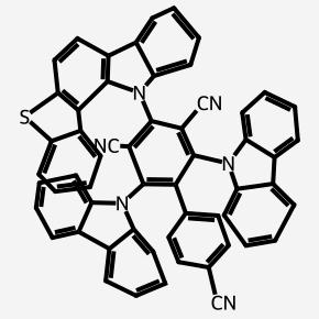 N#Cc1ccc(-c2c(-n3c4ccccc4c4ccccc43)c(C#N)c(-n3c4ccccc4c4ccc5sc6ccccc6c5c43)c(C#N)c2-n2c3ccccc3c3ccccc32)cc1